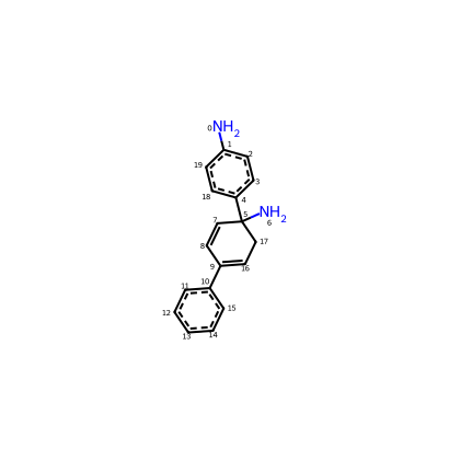 Nc1ccc(C2(N)C=CC(c3ccccc3)=CC2)cc1